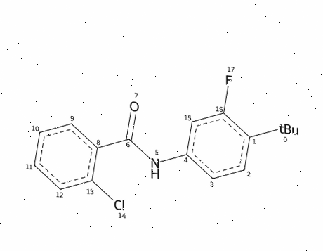 CC(C)(C)c1ccc(NC(=O)c2ccccc2Cl)cc1F